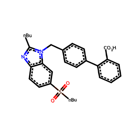 CCCCc1nc2ccc(S(=O)(=O)CCCC)cc2n1Cc1ccc(-c2ccccc2C(=O)O)cc1